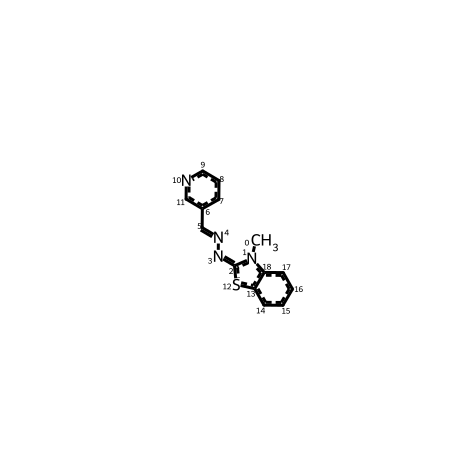 Cn1c(=NN=Cc2cccnc2)sc2ccccc21